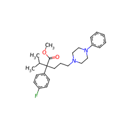 COC(=O)C(CCCN1CCN(c2ccccc2)CC1)(c1ccc(F)cc1)C(C)C